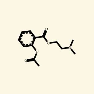 CC(=O)Oc1ccccc1C(=O)OCCN(C)C